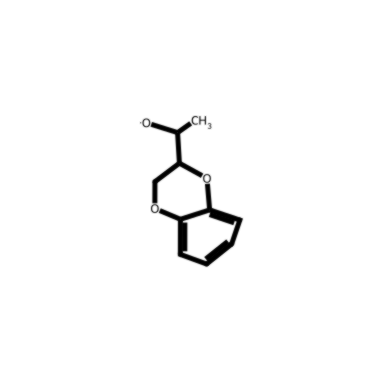 CC([O])C1COc2ccccc2O1